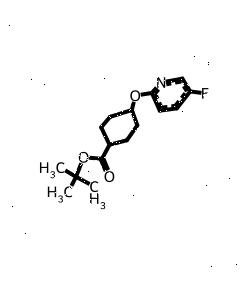 CC(C)(C)OC(=O)C1CCC(Oc2ccc(F)cn2)CC1